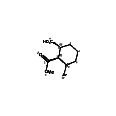 COC(=O)[C@H]1[C@@H](C(=O)O)CCCN1C(C)=O